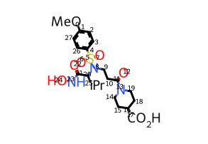 COc1ccc(S(=O)(=O)N(CCC(=O)N2CCC(C(=O)O)CC2)C(C(=O)NO)C(C)C)cc1